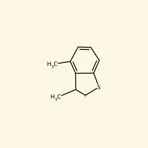 Cc1cccc2c1C(C)[C]S2